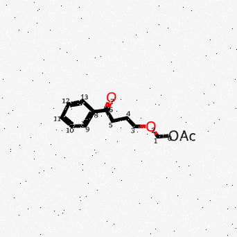 CC(=O)OCOCCCC(=O)c1ccccc1